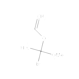 C=COC(C)(Br)OC